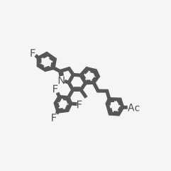 CC(=O)c1cccc(CCc2cccc3c2C(C)=C(c2c(F)cc(F)cc2F)C2N=C(c4ccc(F)cc4)CC32)c1